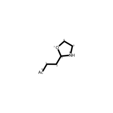 CC(=O)CCC1NCCO1